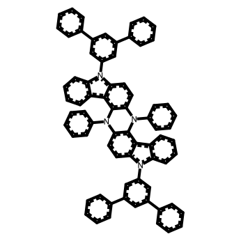 c1ccc(-c2cc(-c3ccccc3)cc(-n3c4ccccc4c4c5c(ccc43)N(c3ccccc3)c3c(ccc4c3c3ccccc3n4-c3cc(-c4ccccc4)cc(-c4ccccc4)c3)N5c3ccccc3)c2)cc1